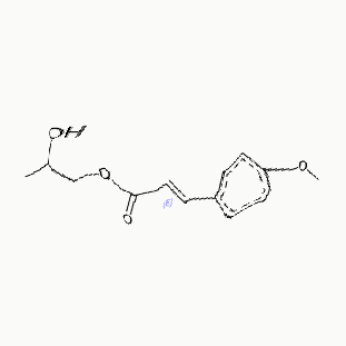 COc1ccc(/C=C/C(=O)OCC(C)O)cc1